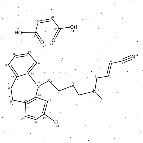 CN(C/C=C/C#N)CCCCN1c2ccccc2CCc2ccc(Cl)cc21.O=C(O)/C=C\C(=O)O